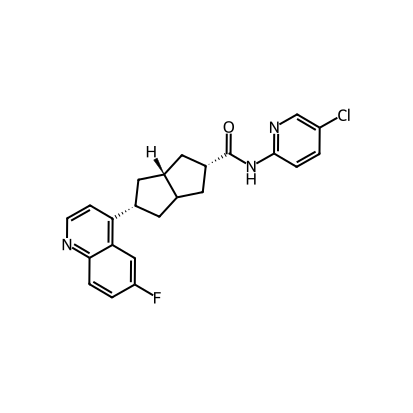 O=C(Nc1ccc(Cl)cn1)[C@@H]1CC2C[C@H](c3ccnc4ccc(F)cc34)C[C@@H]2C1